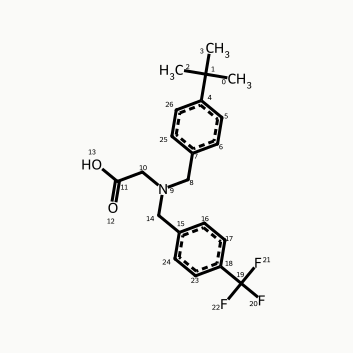 CC(C)(C)c1ccc(CN(CC(=O)O)Cc2ccc(C(F)(F)F)cc2)cc1